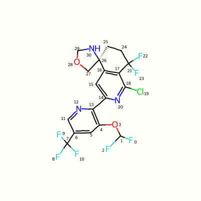 FC(F)Oc1cc(C(F)(F)F)cnc1-c1cc2c(c(Cl)n1)C(F)(F)CC[C@@]21COCN1